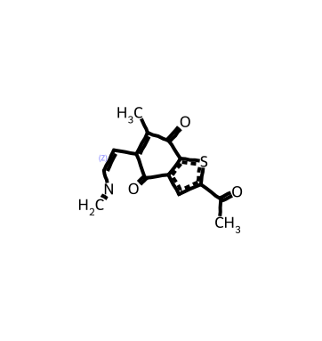 C=N/C=C\C1=C(C)C(=O)c2sc(C(C)=O)cc2C1=O